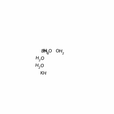 B.O.O.O.O.[KH]